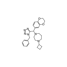 c1ccc(Cn2nnnc2C(c2ccc3c(c2)OCCO3)N2CCCN(C3CCC3)CC2)cc1